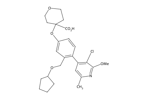 COc1nc(C)cc(-c2ccc(OC3(C(=O)O)CCOCC3)cc2COC2CCCC2)c1Cl